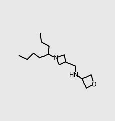 CCCCC(CCC)N1CC(CNC2COC2)C1